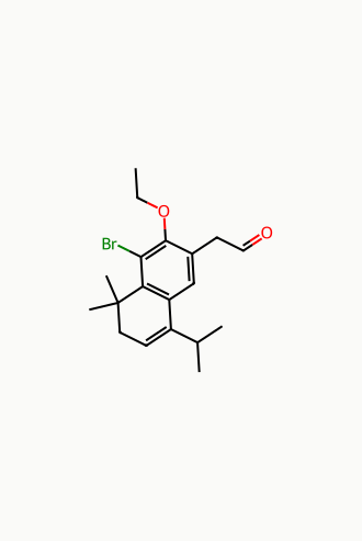 CCOc1c(CC=O)cc2c(c1Br)C(C)(C)CC=C2C(C)C